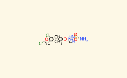 CC(C)(c1ccc(OCc2ccnc(NS(=O)(=O)CCN)n2)cc1)c1cc(Cl)c(OCCCl)c(C#N)c1